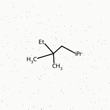 CCC(C)(C)C[C](C)C